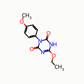 CCOc1nc(=O)n(-c2ccc(OC)cc2)c(=O)[nH]1